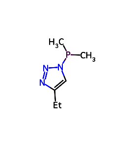 CCc1cn(P(C)C)nn1